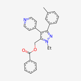 CCn1nc(-c2cccc(C)c2)c(-c2ccncc2)c1COC(=O)c1ccccc1